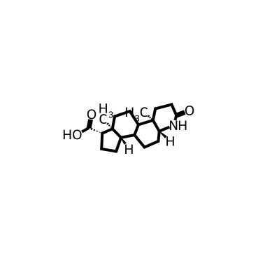 C[C@]12CCC3C(CC[C@H]4NC(=O)CC[C@]34C)[C@@H]1CC[C@@H]2C(=O)O